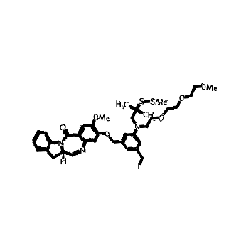 COCCOCCOCCN(CC(C)(C)SSC)c1cc(CI)cc(COc2cc3c(cc2OC)C(=O)N2c4ccccc4C[C@H]2C=N3)c1